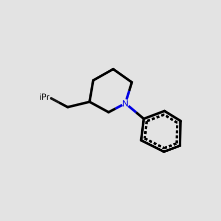 CC(C)CC1CCCN(c2ccccc2)C1